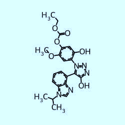 CCOC(=O)Oc1cc(O)c(-n2nnc(O)c2-c2cccc3c2ncn3C(C)C)cc1OC